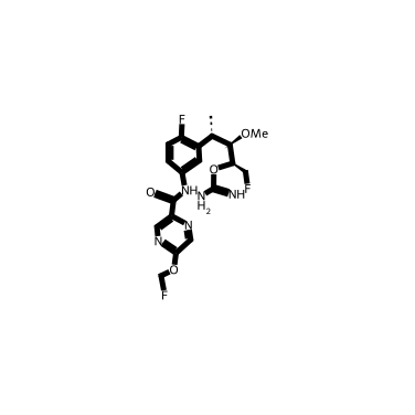 CO[C@@H]([C@@H](CF)OC(=N)N)[C@@H](C)c1cc(NC(=O)c2cnc(OCF)cn2)ccc1F